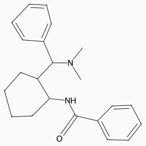 CN(C)C(c1ccccc1)C1CCCCC1NC(=O)c1ccccc1